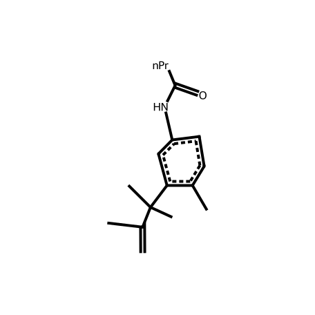 C=C(C)C(C)(C)c1cc(NC(=O)CCC)ccc1C